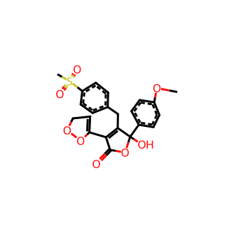 COc1ccc(C2(O)OC(=O)C(C3=CCOO3)=C2Cc2ccc(S(C)(=O)=O)cc2)cc1